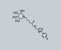 O[C@H]1[C@H](O)[C@@H](O)CN(CCCCC(F)COCc2coc(-c3ccc(F)cc3)n2)C[C@@H]1O